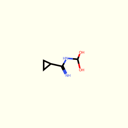 N=C(NC(O)O)C1CC1